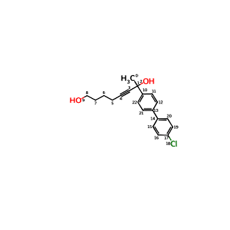 CC(O)(C#CCCCCO)c1ccc(-c2ccc(Cl)cc2)cc1